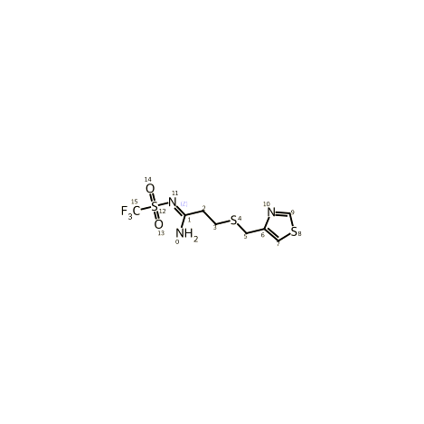 N/C(CCSCc1cscn1)=N\S(=O)(=O)C(F)(F)F